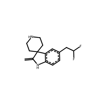 C=C1Nc2ccc(CC(F)F)cc2C12CCNCC2